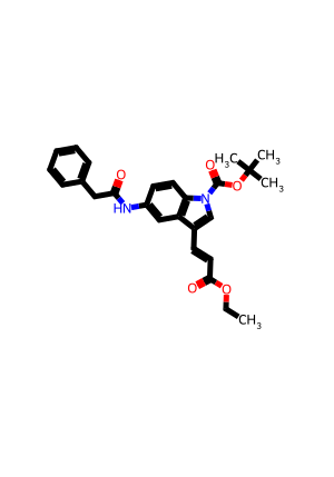 CCOC(=O)C=Cc1cn(C(=O)OC(C)(C)C)c2ccc(NC(=O)Cc3ccccc3)cc12